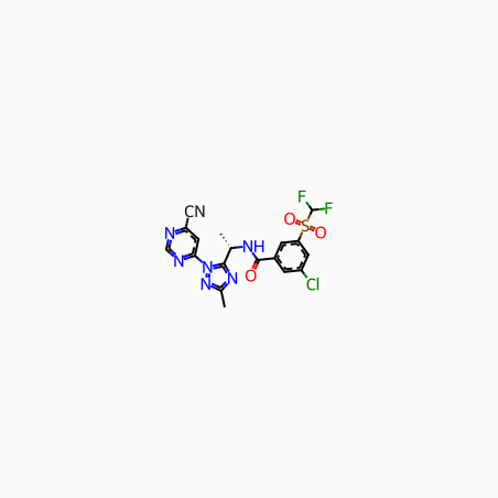 Cc1nc([C@H](C)NC(=O)c2cc(Cl)cc(S(=O)(=O)C(F)F)c2)n(-c2cc(C#N)ncn2)n1